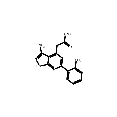 COC(=O)Cc1cc(-c2ccccc2C)nc2[nH]nc(N)c12